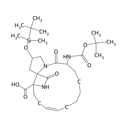 CC(C)(C)OC(=O)NC1CCCCCC=CCCC2(C(=O)O)NC(=O)C23CC(O[Si](C)(C)C(C)(C)C)CN3C1=O